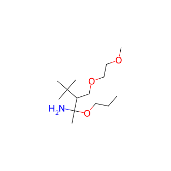 CCCOC(C)(N)C(COCCOC)C(C)(C)C